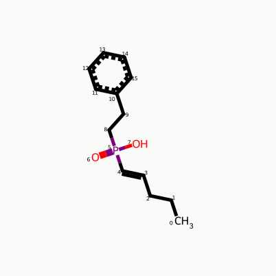 CCCC=CP(=O)(O)CCc1ccccc1